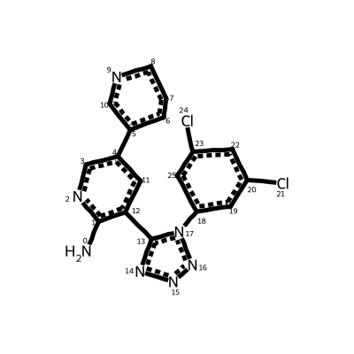 Nc1ncc(-c2cccnc2)cc1-c1nnnn1-c1cc(Cl)cc(Cl)c1